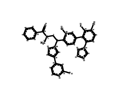 CN(CC(c1ccc(-c2c(-n3cnnn3)ccc(Cl)c2F)c[n+]1[O-])n1cc(-c2ccnc(F)c2)cn1)C(=O)c1ccccc1